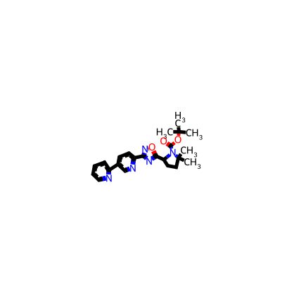 CC(C)(C)OC(=O)N1C(c2nc(-c3ccc(-c4ccccn4)cn3)no2)CCC1(C)C